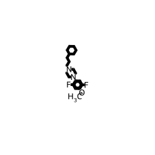 COc1cc(F)c(N2CCN(CCCC3CCCCC3)CC2)cc1F